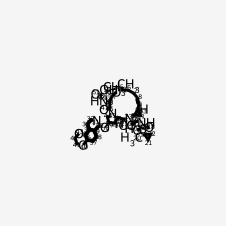 CC[C@@H]1O[C@H](C)CCC=C[C@@H]2C[C@@]2(C(=O)NS(=O)(=O)C2(C)CC2)NC(=O)[C@@H]2C[C@@H](Oc3nccc4c5c(ccc34)OCCO5)CN2C(=O)[C@H]1NC(=O)O